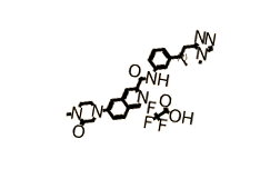 C[C@H](Cc1nncn1C)c1cccc(NC(=O)c2cc3cc(N4CCN(C)C(=O)C4)ccc3cn2)c1.O=C(O)C(F)(F)F